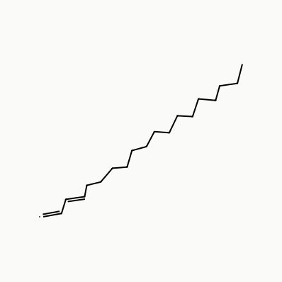 [CH]=C/C=C/CCCCCCCCCCCCCCC